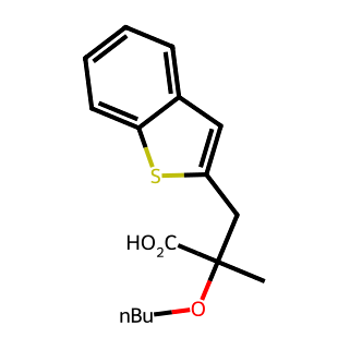 CCCCOC(C)(Cc1cc2ccccc2s1)C(=O)O